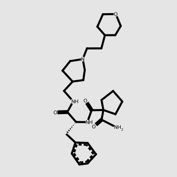 NC(=O)C1(C(=O)N[C@H](Cc2ccccc2)C(=O)NCC2CCN(CCC3CCOCC3)CC2)CCCC1